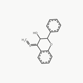 C=S=C1c2ccccc2OC(c2ccccc2)C1O